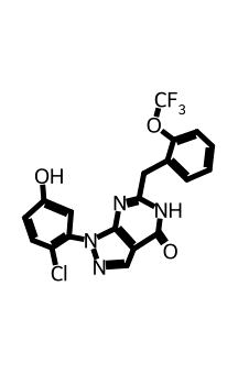 O=c1[nH]c(Cc2ccccc2OC(F)(F)F)nc2c1cnn2-c1cc(O)ccc1Cl